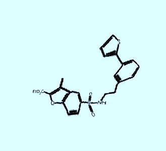 CCOC(=O)c1oc2ccc(S(=O)(=O)NCCc3cccc(-c4cccs4)c3)cc2c1C